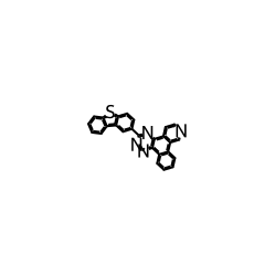 c1ccc2c(c1)sc1ccc(-c3nnc4c5ccccc5c5cnccc5c4n3)cc12